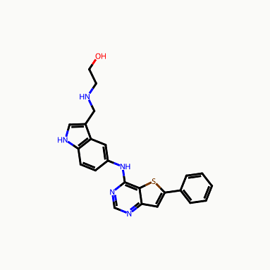 OCCNCc1c[nH]c2ccc(Nc3ncnc4cc(-c5ccccc5)sc34)cc12